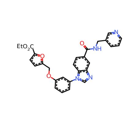 CCOC(=O)c1ccc(COc2cccc(-n3cnc4cc(C(=O)NCc5cccnc5)ccc43)c2)o1